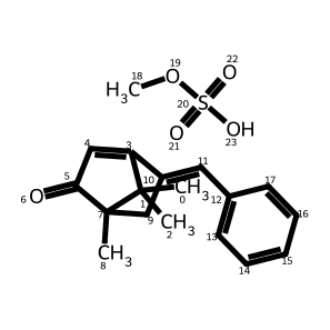 CC1(C)C2=CC(=O)C1(C)CC2=Cc1ccccc1.COS(=O)(=O)O